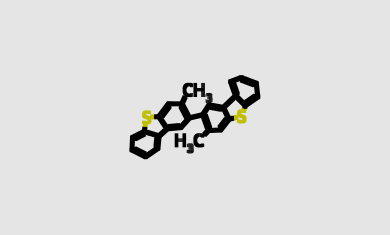 Cc1cc2sc3ccccc3c2cc1-c1cc2c(cc1C)sc1ccccc12